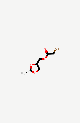 C[C@H]1OCC(COC(=O)CS)O1